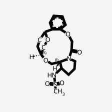 CS(=O)(=O)NC1CCCN2C(=O)COc3ccccc3C3CC[C@@H](CO3)OC[C@@H]12